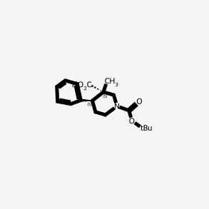 CC(C)(C)OC(=O)N1CC[C@@H](c2ccccc2)[C@](C)(C(=O)O)C1